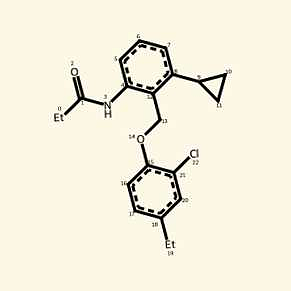 CCC(=O)Nc1cccc(C2CC2)c1COc1ccc(CC)cc1Cl